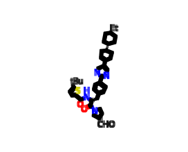 CC[C@H]1CC[C@H](C2CC=C(c3cnc(-c4ccc(C[C@H](NC(=O)c5ccc(C(C)(C)C)s5)C(=O)N5CC[C@H](C=O)C5)cc4)nc3)CC2)CC1